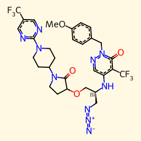 COc1ccc(Cn2ncc(N[C@@H](CN=[N+]=[N-])COC3CCN(C4CCN(c5ncc(C(F)(F)F)cn5)CC4)C3=O)c(C(F)(F)F)c2=O)cc1